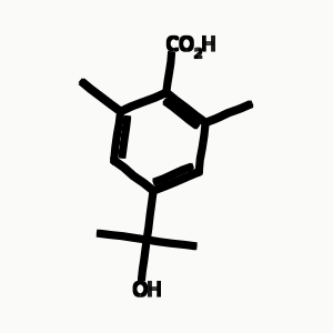 Cc1cc(C(C)(C)O)cc(C)c1C(=O)O